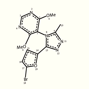 COc1ncnc(OC)c1-n1c(C)nnc1-c1ccc(Br)o1